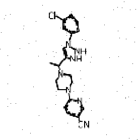 CC(C1=CN(c2cccc(Cl)c2)NN1)N1CCN(c2ccc(C#N)cn2)CC1